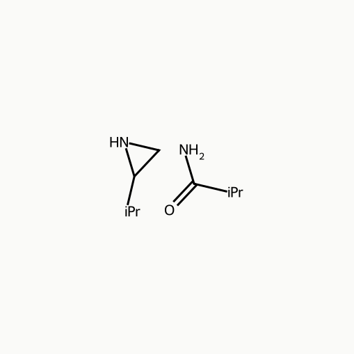 CC(C)C(N)=O.CC(C)C1CN1